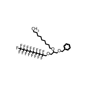 CCCCCCCCCCOC(COCc1ccccc1)COCC(F)(F)C(F)(F)C(F)(F)C(F)(F)C(F)(F)C(F)(F)C(F)(F)C(F)(F)F